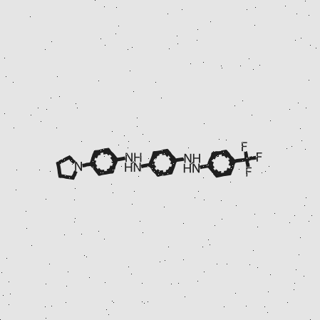 FC(F)(F)c1ccc(NNc2ccc(NNc3ccc(N4CCCC4)cc3)cc2)cc1